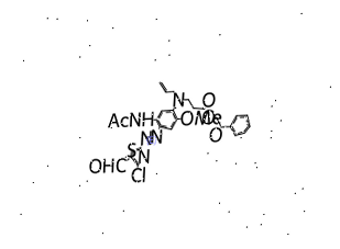 C=CCN(CCC(=O)OCC(=O)c1ccccc1)c1cc(NC(C)=O)c(/N=N/c2nc(Cl)c(C=O)s2)cc1OC